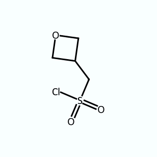 O=S(=O)(Cl)CC1COC1